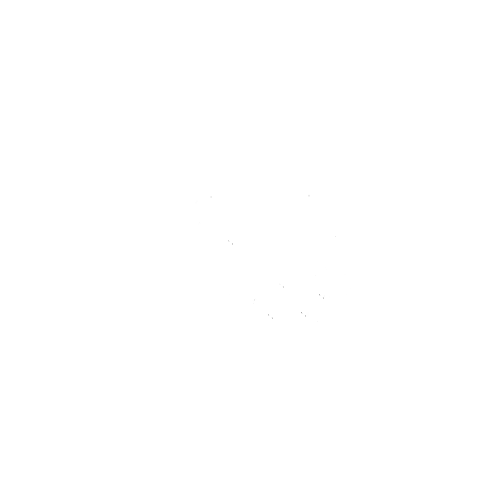 CCCCc1ccc(C)cc1NCc1ccc2nc(N)n(Cc3nc(C)ccc3OCc3ccccc3)c2c1